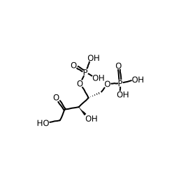 O=C(CO)[C@H](O)[C@@H](COP(=O)(O)O)OP(=O)(O)O